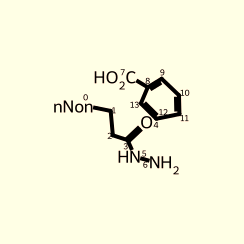 CCCCCCCCCCCC(=O)NN.O=C(O)c1ccccc1